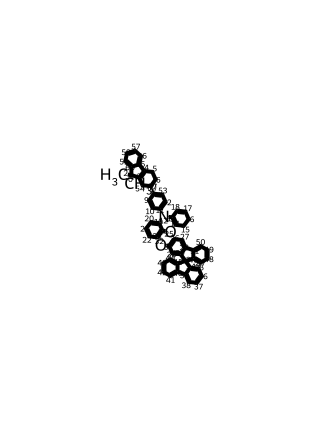 CC1(C)C2=C(CC[C@@H](c3ccc(N(C4=CCCC=C4)c4cccc5c4Oc4cc6c(cc4O5)C4(c5ccccc5-c5ccccc54)c4ccccc4-6)cc3)C2)c2ccccc21